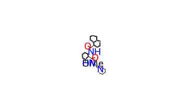 COc1cccc(NC(=O)c2cccc3ccccc23)c1C(=O)NCCN1CCCCC1